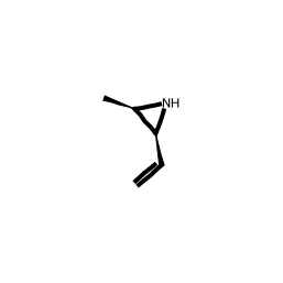 C=C[C@@H]1N[C@@H]1C